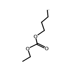 [CH2]CCCOC(=O)OCC